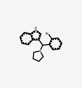 Brc1ccccc1C(c1c[nH]c2ccccc12)N1CCCC1